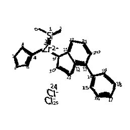 C[Si](C)=[Zr+2]([C]1=CC=CC1)[CH]1C=Cc2c(-c3ccccc3)cccc21.[Cl-].[Cl-]